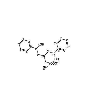 O=C([O-])CN(CC(O)c1ccccc1)CC(O)c1ccccc1.[Na+]